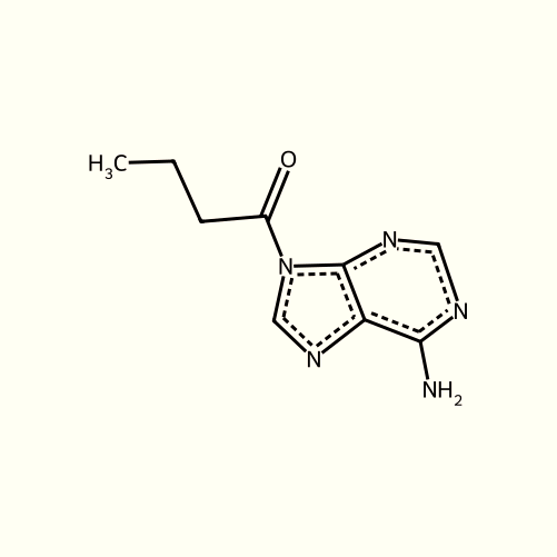 CCCC(=O)n1cnc2c(N)ncnc21